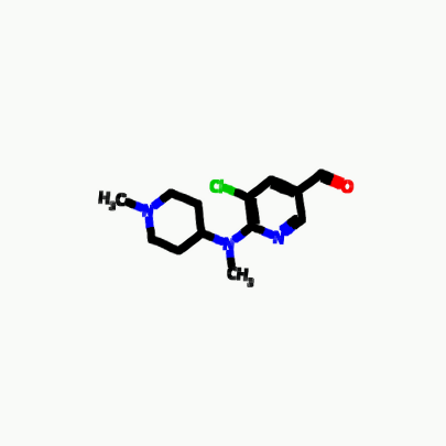 CN1CCC(N(C)c2ncc(C=O)cc2Cl)CC1